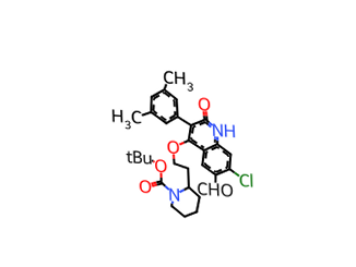 Cc1cc(C)cc(-c2c(OCCC3CCCCN3C(=O)OC(C)(C)C)c3cc(C=O)c(Cl)cc3[nH]c2=O)c1